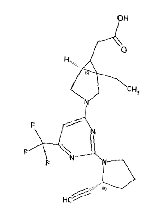 C#C[C@H]1CCCN1c1nc(N2C[C@H]3C(CC(=O)O)C3(CC)C2)cc(C(F)(F)F)n1